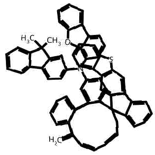 C=C1/C=C\C=C/CC2(c3ccc(N(c4ccc5c(c4)C(C)(C)c4ccccc4-5)c4cccc5c4oc4ccccc45)cc3-c3ccccc31)c1ccccc1-c1cc3sc4ccccc4c3cc12